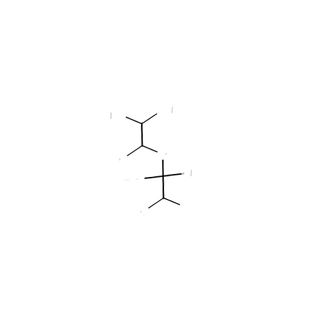 CC(C)C(C)OC(C)(C)C(C)F